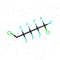 FC(F)(Cl)C(F)(F)C(F)(F)C(F)(F)CCl